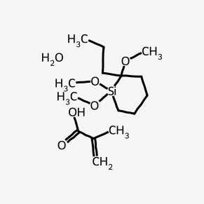 C=C(C)C(=O)O.CCCC1(OC)CCCC[Si]1(OC)OC.O